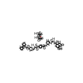 C[C@@H](Cc1cccc(CNC(=O)c2ccc(N(C)C(=O)CCN3CCC(OC(=O)Nc4ccccc4-c4ccccc4)CC3)cc2)c1)NC[C@H](O)c1ccc(O)c2[nH]c(=O)ccc12.O=C(O)C(F)(F)F.O=C(O)C(F)(F)F